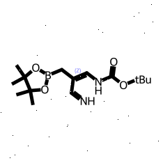 CC(C)(C)OC(=O)N/C=C(\C=N)CB1OC(C)(C)C(C)(C)O1